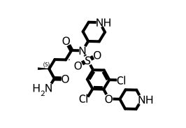 C[C@@H](C[CH]C(=O)N(C1CCNCC1)S(=O)(=O)c1cc(Cl)c(OC2CCNCC2)c(Cl)c1)C(N)=O